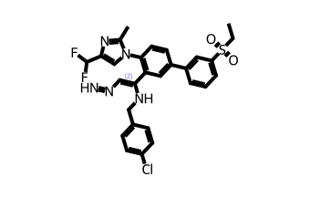 CCS(=O)(=O)c1cccc(-c2ccc(-n3cc(C(F)F)nc3C)c(/C(=C/N=N)NCc3ccc(Cl)cc3)c2)c1